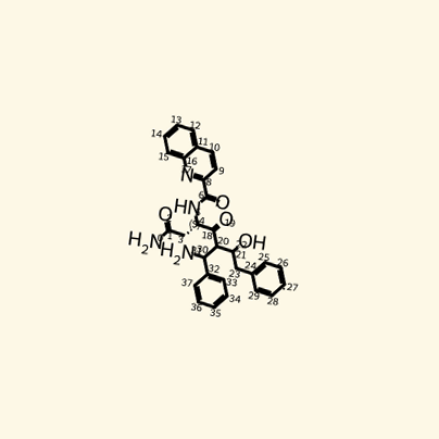 NC(=O)C[C@H](NC(=O)c1ccc2ccccc2n1)C(=O)C(C(O)Cc1cc[c]cc1)C(N)c1ccccc1